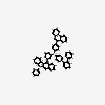 C1=CC2C=C(c3ccc(N(c4ccc(-c5ccccc5-c5ccccc5)cc4)c4cccc(-c5c6ccccc6cc6c5c5ccccc5n6-c5ccccc5)c4)cc3)c3ccccc3C2C=C1